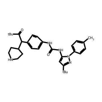 Cc1ccc(-n2nc(C(C)(C)C)cc2NC(=O)Nc2ccc(C(C(=O)C(C)(C)C)C3CCNCC3)cc2)cc1